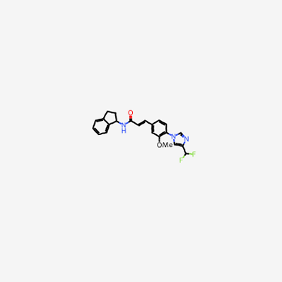 COc1cc(C=CC(=O)NC2CCc3ccccc32)ccc1-n1cnc(C(F)F)c1